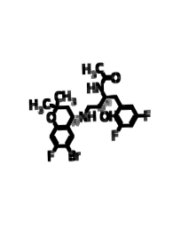 CC(=O)N[C@@H](Cc1cc(F)cc(F)c1)[C@H](O)CN[C@H]1CC(C)(C)Oc2cc(F)c(Br)cc21